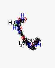 Cc1cc(OCC2CC3(CCN(CC(=O)Nc4ccc5c(C6CCC(=O)NC6=O)nn(C)c5c4F)CC3)C2)ccc1-c1ccc(N2CCc3cccc(C(=O)Nc4nc5ccccc5s4)c3C2)nc1C(=O)O